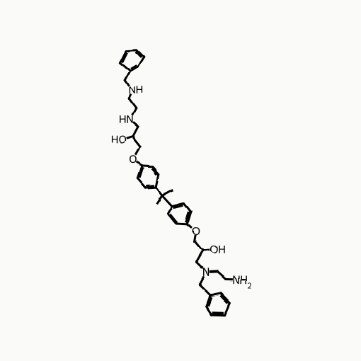 CC(C)(c1ccc(OCC(O)CNCCNCc2ccccc2)cc1)c1ccc(OCC(O)CN(CCN)Cc2ccccc2)cc1